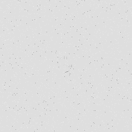 OO.[SbH3].[SbH3]